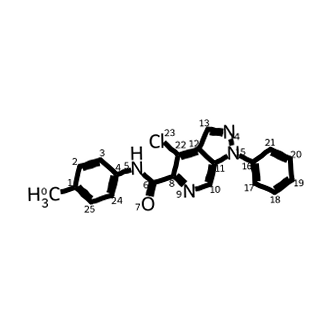 Cc1ccc(NC(=O)c2ncc3c(cnn3-c3ccccc3)c2Cl)cc1